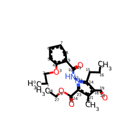 CCCOc1ccccc1C(=O)Nn1c(CCC)c(C=O)c(C)c1C(=O)OCC